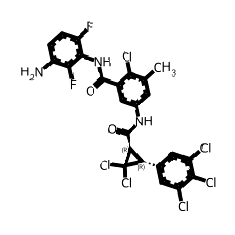 Cc1cc(NC(=O)[C@H]2[C@H](c3cc(Cl)c(Cl)c(Cl)c3)C2(Cl)Cl)cc(C(=O)Nc2c(F)ccc(N)c2F)c1Cl